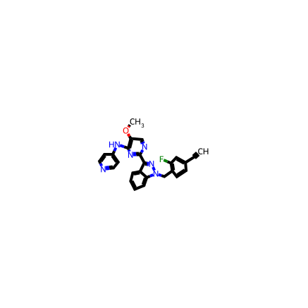 C#Cc1ccc(Cn2nc(-c3ncc(OC)c(Nc4ccncc4)n3)c3ccccc32)c(F)c1